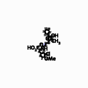 COc1ccc(C[C@@H](NC(=O)/C=C/CC2OC(c3ccccc3)[C@H](O)[C@H]2C)C(=O)O)cc1Cl